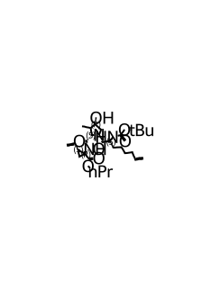 C=CCCCC[C@H](NC(=O)OC(C)(C)C)C(=O)N1C[C@H](O)C(C)[C@H]1C(=O)N[C@]1(C(=O)OCCC)C[C@H]1C=C